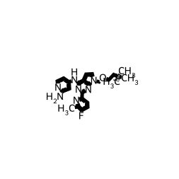 Cc1nc(-c2nc(Nc3ccnc(N)c3)c3ccn(COCC[Si](C)(C)C)c3n2)ccc1F